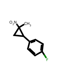 CC1([N+](=O)[O-])CC1c1ccc(F)cc1